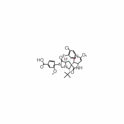 COC1=CC2NC(=O)[C@]3(C2C=N1)[C@H](CC(C)(C)C)N1CN(c2ccc(C(=O)O)cc2OC)C(=O)[C@H]1[C@@H]3c1cccc(Cl)c1F